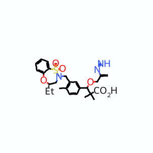 C=C(COC(c1ccc(C)c(CN2C[C@@H](CC)Oc3ccccc3S2(=O)=O)c1)C(C)(C)C(=O)O)N=N